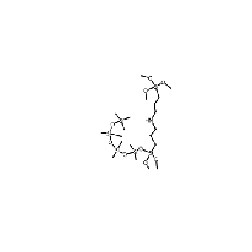 CO[Si](CCCNCCC[Si](OC)(OC)O[Si](C)(C)O[Si](C)(C)O[Si](C)(C)O[Si](C)(C)C)(OC)OC